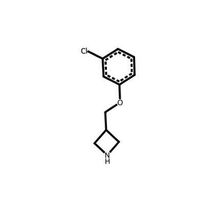 Clc1cccc(OCC2CNC2)c1